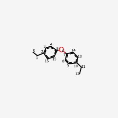 CCc1ccc(Oc2ccc(CC)cc2)cc1